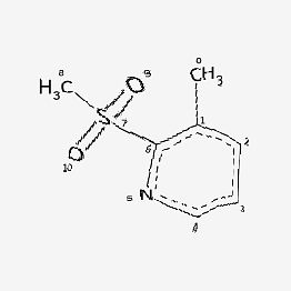 Cc1cccnc1S(C)(=O)=O